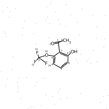 CC(=O)c1c(O)cccc1OC(F)(F)F